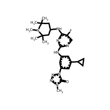 CN1C(C)(C)CC(Nc2nc(Nc3cc(C4CC4)cc(-n4nnn(C)c4=O)c3)ncc2F)CC1(C)C